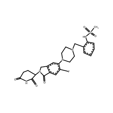 CS(=O)(=O)Nc1ccccc1CN1CCN(c2cc3c(cc2F)C(=O)N(C2CCC(=O)NC2=O)C3)CC1